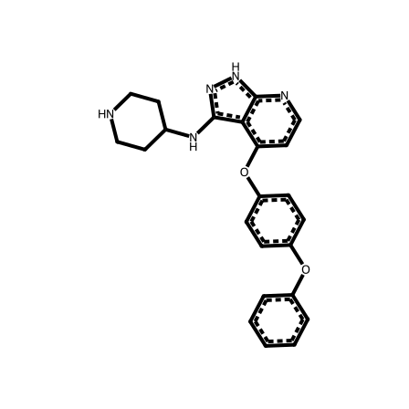 c1ccc(Oc2ccc(Oc3ccnc4[nH]nc(NC5CCNCC5)c34)cc2)cc1